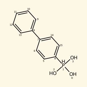 O[PH](O)(O)c1ccc(-c2ccccc2)cc1